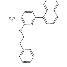 O=[N+]([O-])c1ccc(-c2cccc3ccccc23)nc1OCCc1ccccc1